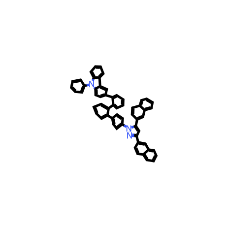 c1ccc(-n2c3ccccc3c3cc(-c4ccccc4-c4ccccc4-c4ccc(-n5nc(-c6ccc7ccccc7c6)cc5-c5ccc6ccccc6c5)cc4)ccc32)cc1